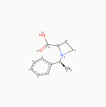 C[C@@H](c1ccccc1)N1CCC1C(=O)O